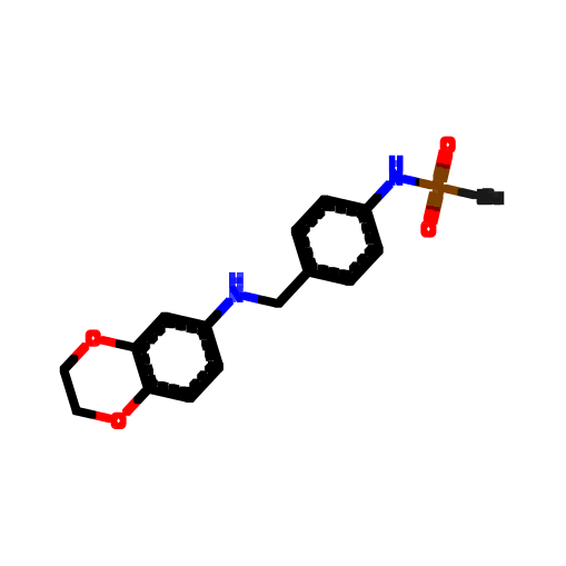 CC(C)(C)S(=O)(=O)Nc1ccc(CNc2ccc3c(c2)OCCO3)cc1